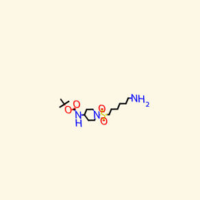 CC(C)(C)OC(=O)NC1CCN(S(=O)(=O)CCCCCCN)CC1